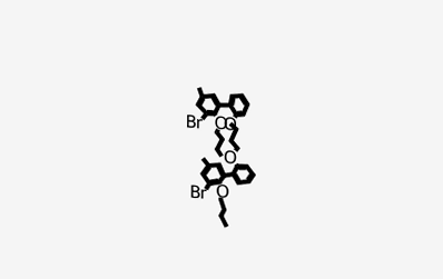 CCCCOc1c(Br)cc(C)cc1-c1ccccc1OCCCOc1ccccc1-c1cc(C)cc(Br)c1OCCCC